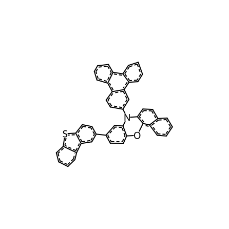 c1ccc2c3c(ccc2c1)N(c1ccc2c4ccccc4c4ccccc4c2c1)c1cc(-c2ccc4sc5ccccc5c4c2)ccc1O3